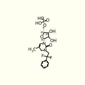 CC1=CN([C@@H]2O[C@H](COP(=O)(O)O)[C@H](O)C2O)C(=O)N(CC(F)(F)c2ccccc2)C1